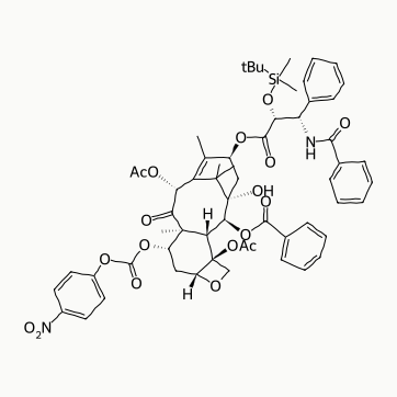 CC(=O)O[C@H]1C(=O)[C@]2(C)[C@@H](OC(=O)Oc3ccc([N+](=O)[O-])cc3)C[C@H]3OC[C@@]3(OC(C)=O)[C@H]2[C@H](OC(=O)c2ccccc2)[C@]2(O)C[C@H](OC(=O)[C@H](O[Si](C)(C)C(C)(C)C)[C@@H](NC(=O)c3ccccc3)c3ccccc3)C(C)=C1C2(C)C